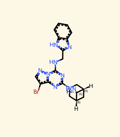 N[C@@H]1[C@@H]2C[C@H]1CN(c1nc(NCc3nc4ccccc4[nH]3)n3ncc(Br)c3n1)C2